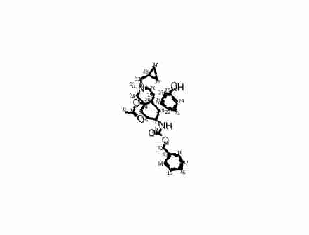 CC(=O)OC12CC[C@H](NC(=O)OCc3ccccc3)C[C@]1(c1cccc(O)c1)CC[N@+](C)(CC1CC1)C2